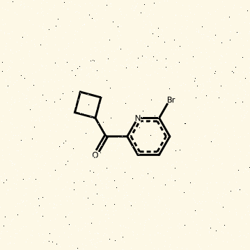 O=C(c1cccc(Br)n1)C1CCC1